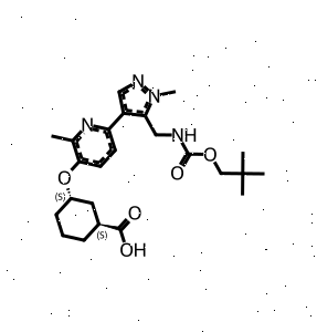 Cc1nc(-c2cnn(C)c2CNC(=O)OCC(C)(C)C)ccc1O[C@H]1CCC[C@H](C(=O)O)C1